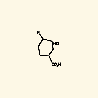 Cl.O=C(O)C1CCC(F)CC1